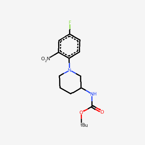 CC(C)(C)OC(=O)NC1CCCN(c2ccc(F)cc2[N+](=O)[O-])C1